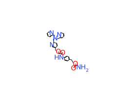 NC(=O)OCCc1ccc(NC(=O)COCc2ccc(CN(Cc3ccccn3)Cc3ccccn3)nc2)cc1